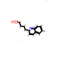 OCCCCc1ccc2ccccc2n1